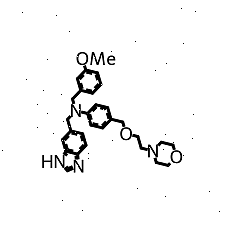 COc1cccc(CN(Cc2ccc3nc[nH]c3c2)c2ccc(COCCN3CCOCC3)cc2)c1